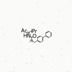 CC(=O)[C@@H](NC(=O)[C@@H](C)Cc1ccc(-c2ccccc2)cc1)C(C)C